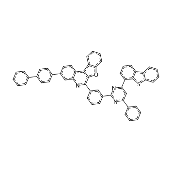 c1ccc(-c2ccc(-c3ccc4c(c3)nc(-c3cccc(-c5nc(-c6ccccc6)cc(-c6cccc7c6sc6ccccc67)n5)c3)c3oc5ccccc5c34)cc2)cc1